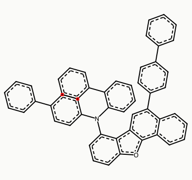 c1ccc(-c2ccc(-c3cc4c(oc5cccc(N(c6ccc(-c7ccccc7)cc6)c6ccccc6-c6ccccc6)c54)c4ccccc34)cc2)cc1